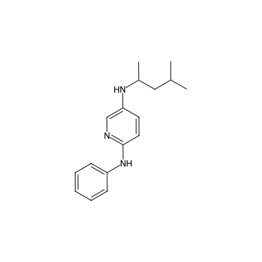 CC(C)CC(C)Nc1ccc(Nc2ccccc2)nc1